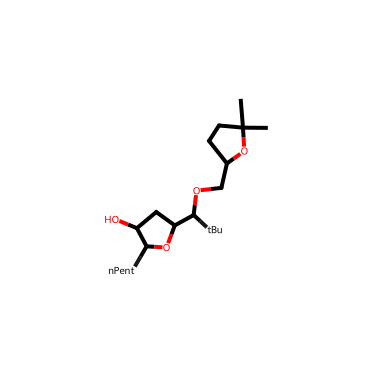 CCCCCC1OC(C(OCC2CCC(C)(C)O2)C(C)(C)C)CC1O